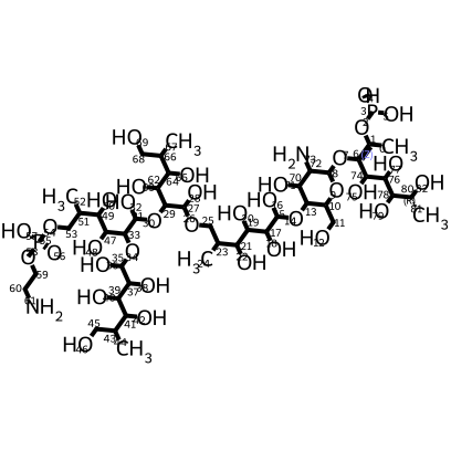 C/C(O[PH](=O)O)=C(/OC1OC(CO)C(OC(O)C(O)C(O)C(O)C(C)COC(O)C(OC(O)C(OC(O)C(O)C(O)C(O)C(C)CO)C(O)C(O)C(C)COP(=O)(O)OCCN)C(O)C(O)C(C)CO)C(O)C1N)C(O)C(O)C(O)[C@@H](C)O